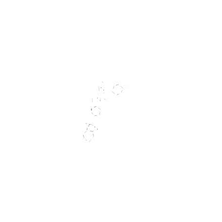 CCCCCn1c(-c2ccc(NC(=O)C(NC=O)c3ccc(SCC)cc3)cc2)nc2ccc(C)cc21